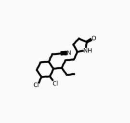 CCC(CCC1CCC(=O)N1)C1C(CC#N)CCC(Cl)C1Cl